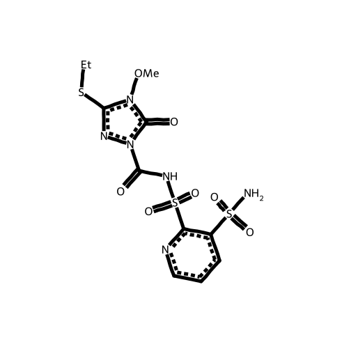 CCSc1nn(C(=O)NS(=O)(=O)c2ncccc2S(N)(=O)=O)c(=O)n1OC